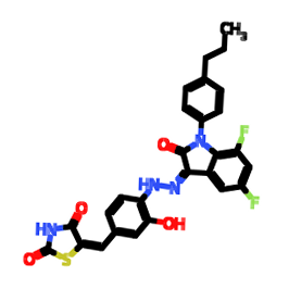 CCCc1ccc(N2C(=O)/C(=N\Nc3ccc(/C=C4/SC(=O)NC4=O)cc3O)c3cc(F)cc(F)c32)cc1